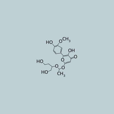 COc1cc(-c2oc(OC(C)OC(CO)CCO)cc(=O)c2O)ccc1O